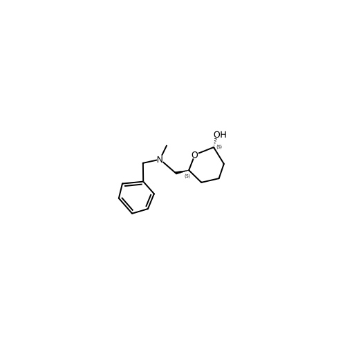 CN(Cc1ccccc1)C[C@@H]1CCC[C@@H](O)O1